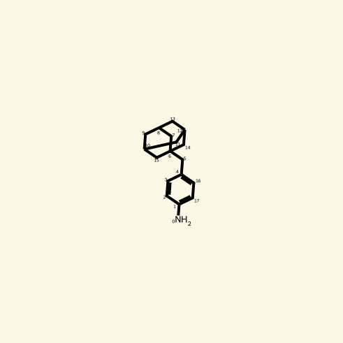 Nc1ccc(CC23CC4CC(CC(C4)C2)C3)cc1